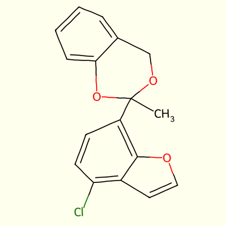 CC1(c2ccc(Cl)c3ccoc23)OCc2ccccc2O1